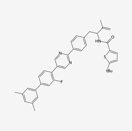 C=C(C)C(Cc1ccc(-c2ncc(-c3ccc(-c4cc(C)cc(C)c4)cc3F)cn2)cc1)NC(=O)c1ccc(C(C)(C)C)s1